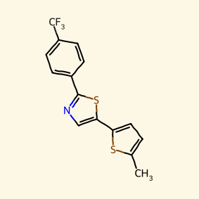 Cc1ccc(-c2cnc(-c3ccc(C(F)(F)F)cc3)s2)s1